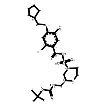 CC(C)(C)OC(=O)NC[C@H]1CN(S(=O)(=O)NC(=O)c2cc(Cl)c(OCC3CCCC3)cc2F)CCO1